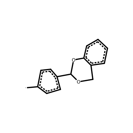 [CH2]c1ccc(C2OCc3ccccc3O2)cc1